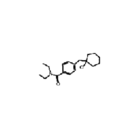 CCN(CC)C(=O)c1ccc(CC2(Cl)CCCCC2)cc1